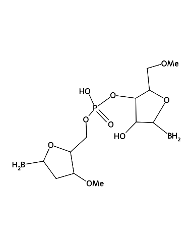 BC1CC(OC)C(COP(=O)(O)OC2C(COC)OC(B)C2O)O1